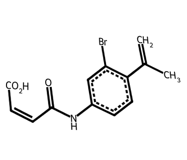 C=C(C)c1ccc(NC(=O)/C=C\C(=O)O)cc1Br